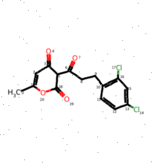 CC1=CC(=O)C(C(=O)CCc2ccc(Cl)cc2Cl)C(=O)O1